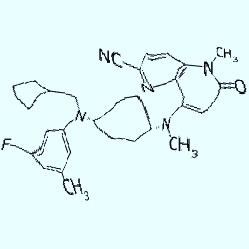 Cc1cc(F)cc(N(CC2CCC2)[C@H]2CC[C@@H](N(C)c3cc(=O)n(C)c4ccc(C#N)nc34)CC2)c1